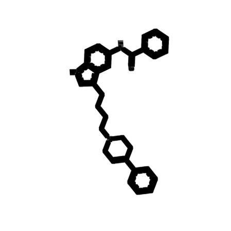 O=C(Nc1ccc2[nH]cc(CCCCN3CC=C(c4ccccc4)CC3)c2c1)c1ccccc1